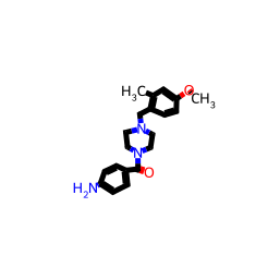 COc1ccc(CN2CCN(C(=O)c3ccc(N)cc3)CC2)c(C)c1